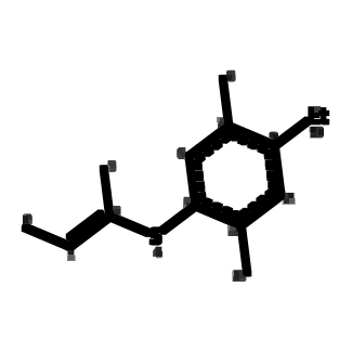 C/C=C(\C)Sc1cc(C)c(CC)cc1C